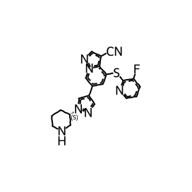 N#Cc1cnn2cc(-c3cnn([C@H]4CCCNC4)c3)cc(Sc3ncccc3F)c12